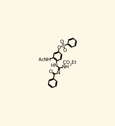 CCOC(=O)N/C(=N/C(=O)c1ccccc1)Nc1ccc(OS(=O)(=O)c2ccccc2)cc1NC(C)=O